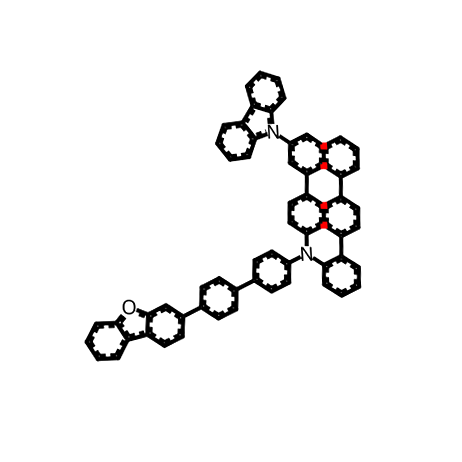 c1ccc(-c2ccc(-c3ccccc3N(c3ccc(-c4ccc(-c5ccc6c(c5)oc5ccccc56)cc4)cc3)c3ccc(-c4cccc(-n5c6ccccc6c6ccccc65)c4)cc3)cc2)cc1